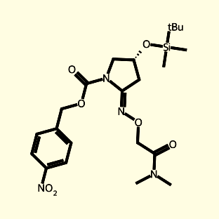 CN(C)C(=O)CON=C1C[C@@H](O[Si](C)(C)C(C)(C)C)CN1C(=O)OCc1ccc([N+](=O)[O-])cc1